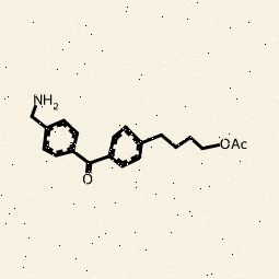 CC(=O)OCCCCc1ccc(C(=O)c2ccc(CN)cc2)cc1